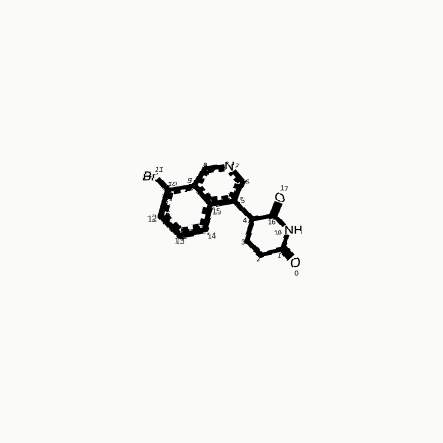 O=C1CCC(c2cncc3c(Br)cccc23)C(=O)N1